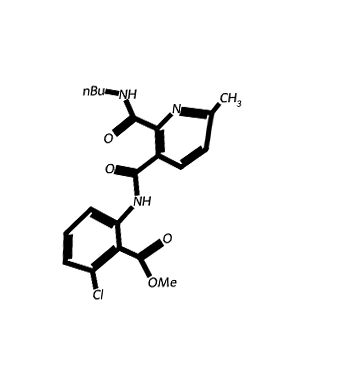 CCCCNC(=O)c1nc(C)ccc1C(=O)Nc1cccc(Cl)c1C(=O)OC